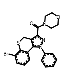 O=C(c1nn(-c2ccccc2)c2c1CSc1c(Br)cccc1-2)N1CCOCC1